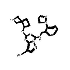 CC(C)c1cnn2c(NCc3ccccc3-n3cccn3)nc(OC3CCC34CNC4)nc12